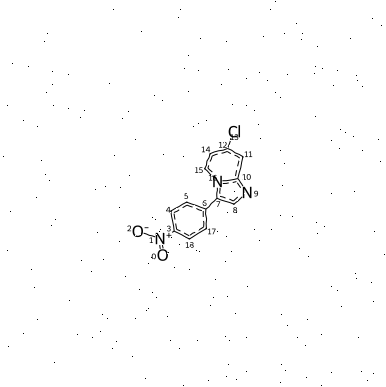 O=[N+]([O-])c1ccc(-c2cnc3cc(Cl)ccn23)cc1